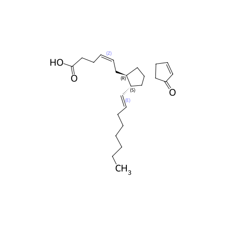 CCCCCC/C=C/[C@H]1CCC[C@@H]1C/C=C\CCC(=O)O.O=C1C=CCC1